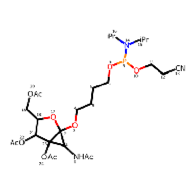 CC(=O)NC1C2(OCCCCOP(OCCC#N)N(C(C)C)C(C)C)OC(COC(C)=O)C(OC(C)=O)C12OC(C)=O